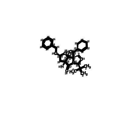 CC(C)(C)[C@@H]1OC[C@]2([C@H](O)[C@@H]3C=CCCC3)N1C(=O)[C@@H]1C[C@@H](OCc3ccccc3)O[C@@]12C